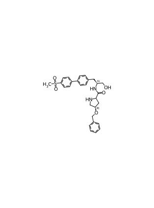 CS(=O)(=O)c1ccc(-c2ccc(C[C@@H](CO)NC(=O)C3C[C@@H](OCc4ccccc4)CN3)cc2)cc1